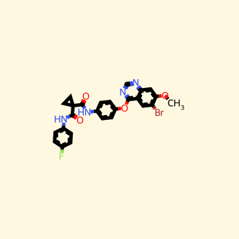 COc1cc2ncnc(Oc3ccc(NC(=O)C4(C(=O)Nc5ccc(F)cc5)CC4)cc3)c2cc1Br